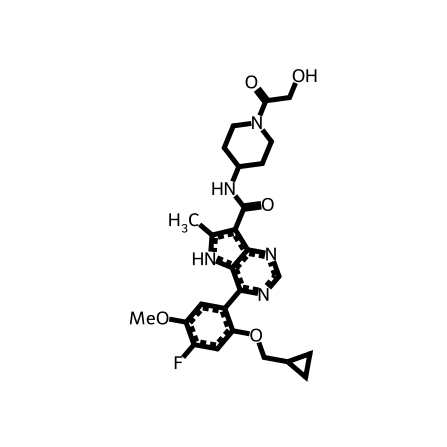 COc1cc(-c2ncnc3c(C(=O)NC4CCN(C(=O)CO)CC4)c(C)[nH]c23)c(OCC2CC2)cc1F